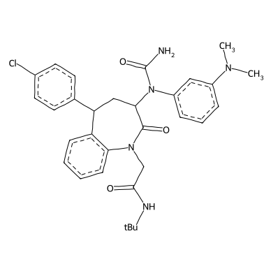 CN(C)c1cccc(N(C(N)=O)C2CC(c3ccc(Cl)cc3)c3ccccc3N(CC(=O)NC(C)(C)C)C2=O)c1